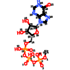 CCOP(=O)(O)OP(=O)(O)OP(=O)(O)OC[C@H]1O[C@@H](n2cnc3c(=O)[nH]cnc32)[C@H](O)[C@@H]1O